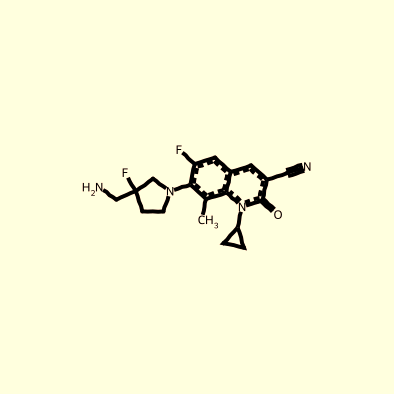 Cc1c(N2CCC(F)(CN)C2)c(F)cc2cc(C#N)c(=O)n(C3CC3)c12